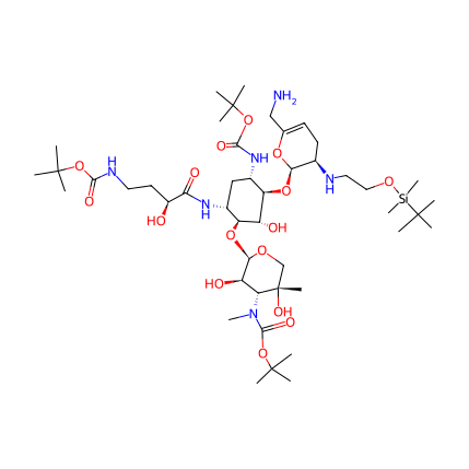 CN(C(=O)OC(C)(C)C)[C@@H]1[C@@H](O)[C@@H](O[C@@H]2[C@@H](O)[C@H](O[C@H]3OC(CN)=CC[C@H]3NCCO[Si](C)(C)C(C)(C)C)[C@@H](NC(=O)OC(C)(C)C)C[C@H]2NC(=O)[C@@H](O)CCNC(=O)OC(C)(C)C)OC[C@]1(C)O